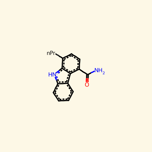 CCCc1ccc(C(N)=O)c2c1[nH]c1ccccc12